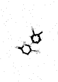 Cc1ccc([C@H]2NC(=O)CC[C@@H]2[N+](=O)[O-])cc1Br